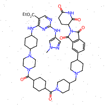 CCOC(=O)c1cnc(Nc2cnn(C)c2)nc1NC1CCC(N2CCN(C(=O)C3CCC(C(=O)N4CCC(CN5CCC(c6ccc7c(c6)C(=O)N(C6CCC(=O)NC6=O)C7=O)CC5)CC4)CC3)CC2)CC1